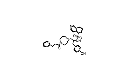 O=C(CCc1ccccc1)N1CCCN(CC(Cc2ccc(O)cc2)NS(=O)(=O)c2cccc3cnccc23)CC1